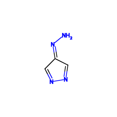 NN=C1C=NN=C1